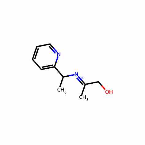 C/C(CO)=N\C(C)c1ccccn1